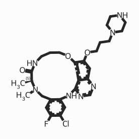 C[C@H]1C(=O)NCCCOc2cc3c(ncnc3cc2OCCCN2CCNCC2)Nc2cc(Cl)c(F)cc2CN1C